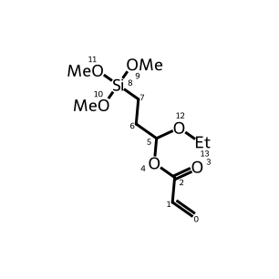 C=CC(=O)OC(CC[Si](OC)(OC)OC)OCC